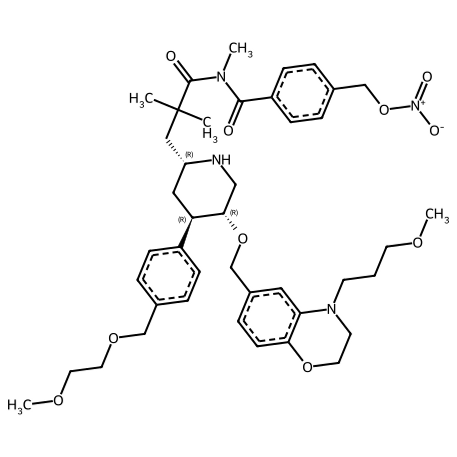 COCCCN1CCOc2ccc(CO[C@H]3CN[C@@H](CC(C)(C)C(=O)N(C)C(=O)c4ccc(CO[N+](=O)[O-])cc4)C[C@@H]3c3ccc(COCCOC)cc3)cc21